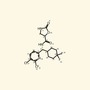 O=C1NCC(C(=O)N[C@@H](c2ccc(Cl)c(C(F)(F)F)n2)C2CCC(F)(F)CC2)O1